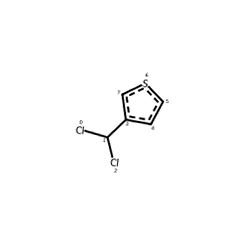 ClC(Cl)c1ccsc1